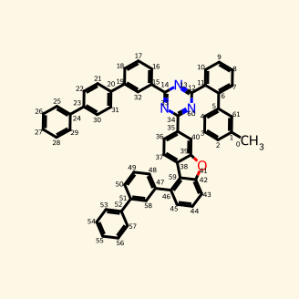 Cc1cccc(-c2ccccc2-c2nc(-c3cccc(-c4ccc(-c5ccccc5)cc4)c3)nc(-c3ccc4c(c3)oc3cccc(-c5cccc(-c6ccccc6)c5)c34)n2)c1